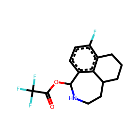 O=C(OC1NCCC2CCCc3c(F)ccc1c32)C(F)(F)F